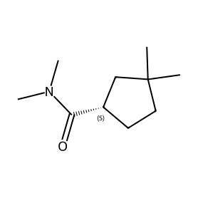 CN(C)C(=O)[C@H]1CCC(C)(C)C1